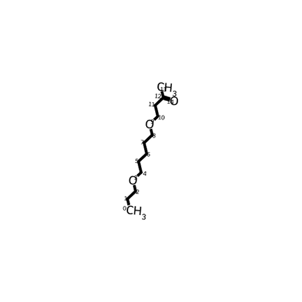 CCCOCCCCCOCCC(C)=O